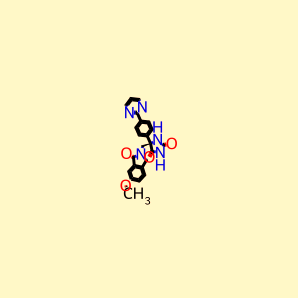 COc1ccc2c(c1)C(=O)N(C[C@@]1(c3ccc(-c4ncccn4)cc3)NC(=O)NC1=O)C2